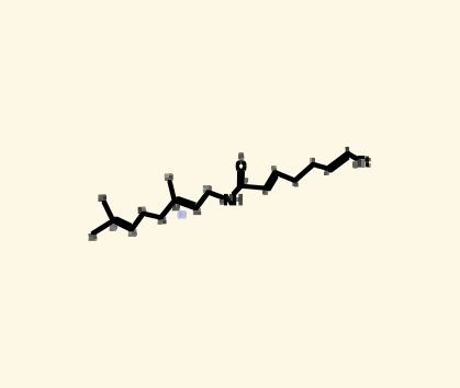 CCC=CCCC=CC(=O)NC/C=C(\C)CCC=C(C)C